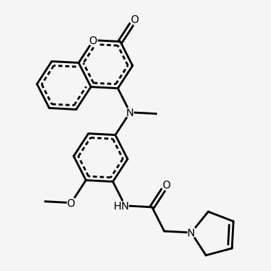 COc1ccc(N(C)c2cc(=O)oc3ccccc23)cc1NC(=O)CN1CC=CC1